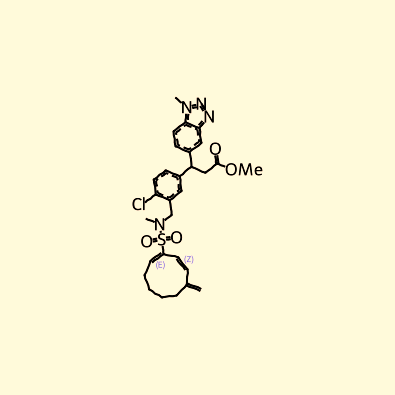 C=C1/C=C\C(S(=O)(=O)N(C)Cc2cc(C(CC(=O)OC)c3ccc4c(c3)nnn4C)ccc2Cl)=C/CCCC1